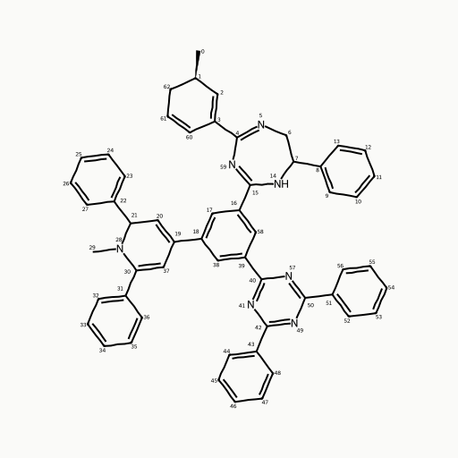 C[C@H]1C=C(C2=NCC(c3ccccc3)NC(c3cc(C4=CC(c5ccccc5)N(C)C(c5ccccc5)=C4)cc(-c4nc(-c5ccccc5)nc(-c5ccccc5)n4)c3)=N2)C=CC1